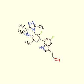 Cc1cc(-c2cc(F)cc3c(CCO)c[nH]c23)c(F)c2c1NC(C)(C)c1nnc(C)n1-2